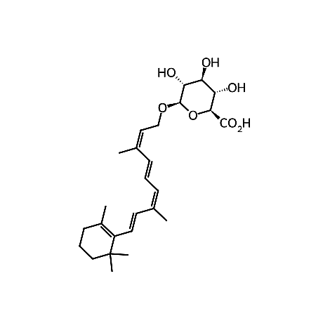 CC1=C(/C=C/C(C)=C\C=C\C(C)=C/CO[C@@H]2O[C@H](C(=O)O)[C@@H](O)[C@H](O)[C@H]2O)C(C)(C)CCC1